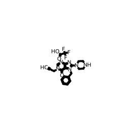 C#CCn1cnc2nc(N3CCNCC3)n(Cc3ccccc3)c2c1=O.O=C(O)C(F)(F)F